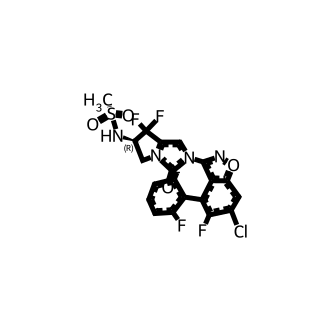 CS(=O)(=O)N[C@@H]1Cn2c(cn(-c3noc4cc(Cl)c(F)c(-c5c(F)cccc5F)c34)c2=O)C1(F)F